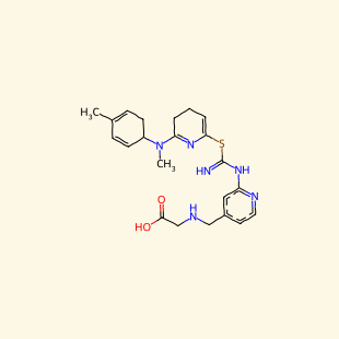 CC1=CCC(N(C)C2=NC(SC(=N)Nc3cc(CNCC(=O)O)ccn3)=CCC2)C=C1